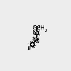 C[S@+]([O-])c1ccc(-c2coc(-c3ccc(F)cc3)n2)cn1